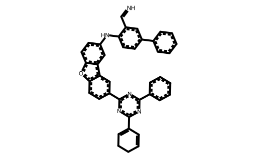 N=Cc1cc(-c2ccccc2)ccc1Nc1ccc2oc3ccc(-c4nc(C5=CCCC=C5)nc(-c5ccccc5)n4)cc3c2c1